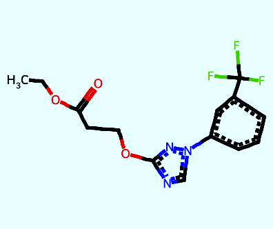 CCOC(=O)CCOc1ncn(-c2cccc(C(F)(F)F)c2)n1